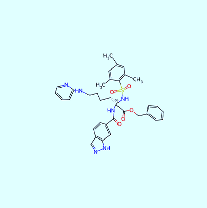 Cc1cc(C)c(S(=O)(=O)N[C@](CCCCNc2ccccn2)(NC(=O)c2ccc3cn[nH]c3c2)C(=O)OCc2ccccc2)c(C)c1